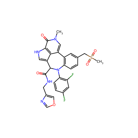 Cn1cc2c3c(c[nH]c3c1=O)C(C(=O)NCc1cocn1)N(c1ccc(F)cc1F)c1ccc(CS(C)(=O)=O)cc1-2